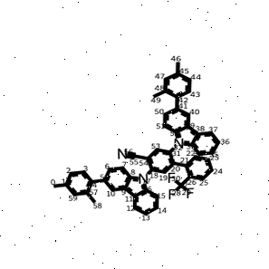 Cc1ccc(-c2ccc3c(c2)c2ccccc2n3-c2cc(-c3ccccc3C(F)(F)F)c(-n3c4ccccc4c4cc(-c5ccc(C)cc5C)ccc43)cc2C#N)c(C)c1